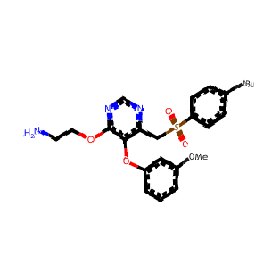 COc1cccc(Oc2c(CS(=O)(=O)c3ccc(C(C)(C)C)cc3)ncnc2OCCN)c1